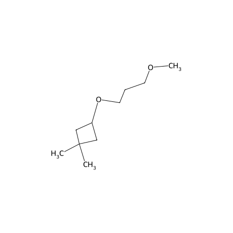 COCCCOC1CC(C)(C)C1